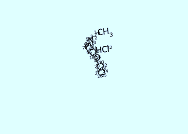 CCCCN1Cc2cc3ccc2C(C1)C31C=CC(OCc2ccc3ccccc3c2)=CC1.Cl